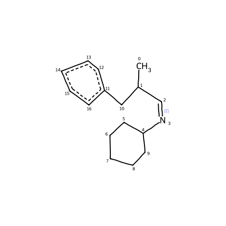 CC(/C=N\C1CCCCC1)Cc1ccccc1